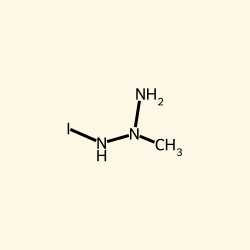 CN(N)NI